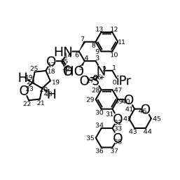 CC(C)CN(C[C@@H](O)[C@H](Cc1ccccc1)NC(=O)OC1C[C@@H]2CCO[C@@H]2C1)[S+]([O-])c1ccc(OC2CCCCO2)c(OC2CCCCO2)c1